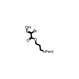 CCCCCCCCOC(=O)C(Br)=NO